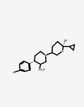 CC(=O)[C@@]1(C2CC2)CCC(N2CC[C@@H](c3ccc(F)cc3)C(C(=O)O)C2)CO1